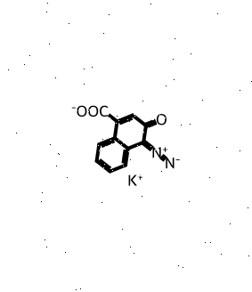 [K+].[N-]=[N+]=C1C(=O)C=C(C(=O)[O-])c2ccccc21